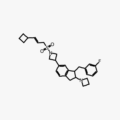 O=S(=O)(CC=CC1CCC1)N1CC(c2ccc3c(c2)C(Cc2cccc(F)c2)C(N2CCC2)C3)C1